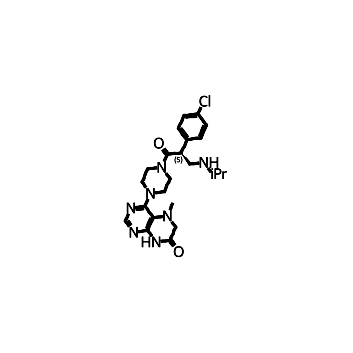 CC(C)NC[C@@H](C(=O)N1CCN(c2ncnc3c2N(C)CC(=O)N3)CC1)c1ccc(Cl)cc1